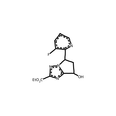 CCOC(=O)c1nc2n(n1)C(c1ncccc1F)CC2O